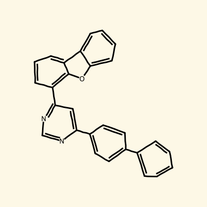 c1ccc(-c2ccc(-c3cc(-c4cccc5c4oc4ccccc45)ncn3)cc2)cc1